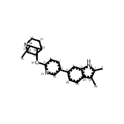 Cc1[nH]c2cc(-c3ccc(OC4C5CCN(CC5)C4C)nc3)ccc2c1C